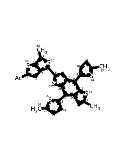 CC(=O)c1cc2c(-c3cc4c(-c5ccc(C)s5)c5sc(C)cc5c(-c5ccc(C)s5)c4s3)sc(C)c2s1